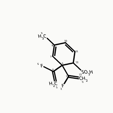 C=C(F)C1(C(=C)F)C=C(C)C=CC1S(=O)(=O)O